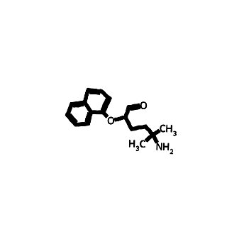 CC(C)(N)CCC(C=O)Oc1cccc2ccccc12